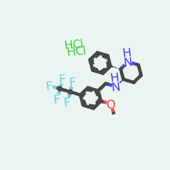 COc1ccc(C(F)(F)C(F)(F)F)cc1CN[C@H]1CCCN[C@H]1c1ccccc1.Cl.Cl